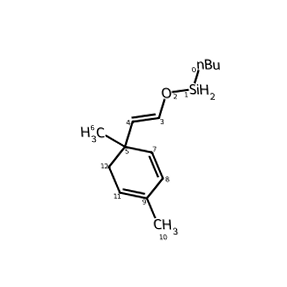 CCCC[SiH2]OC=CC1(C)C=CC(C)=CC1